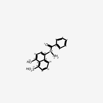 NN(C(=O)c1ccccc1)c1ccc(O)c2c(S(=O)(=O)O)cccc12